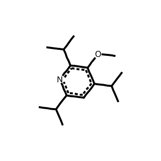 COc1c(C(C)C)cc(C(C)C)nc1C(C)C